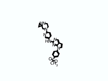 CS(=O)(=O)c1ccc(-n2ccc3cnc(Nc4ccc(N5CCNC6(CC6)C5)nc4)nc32)cc1